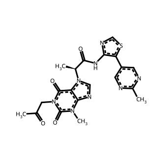 CC(=O)Cn1c(=O)c2c(ncn2[C@@H](C)C(=O)Nc2ncsc2-c2cnc(C)nc2)n(C)c1=O